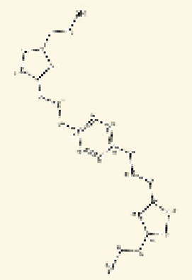 SCCC1CSC(CSCc2ccc(CSCC3SCC(CCS)S3)cc2)S1